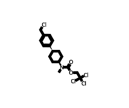 CN(C(=O)OCC(Cl)(Cl)Cl)[C@H]1CC[C@H](c2ccc(CCl)cc2)CC1